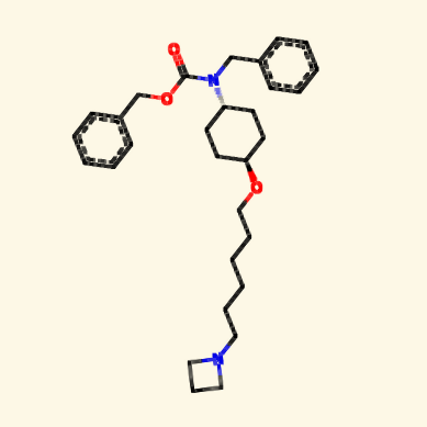 O=C(OCc1ccccc1)N(Cc1ccccc1)[C@H]1CC[C@H](OCCCCCCN2CCC2)CC1